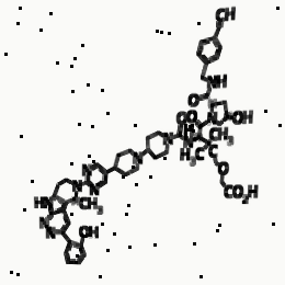 C#Cc1ccc(CNC(=O)[C@@H]2C[C@@H](O)CN2C(=O)[C@H](NC(=O)N2CCC(N3CCC(c4cnc(N5CCc6[nH]c7nnc(-c8ccccc8O)cc7c6[C@H]5C)nc4)CC3)CC2)C(C)(C)CCOCC(=O)O)cc1